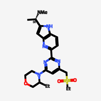 CCC1COCCN1c1cc(CS(=O)(=O)CC)nc(-c2ccc3[nH]c([C@H](C)NC)cc3n2)n1